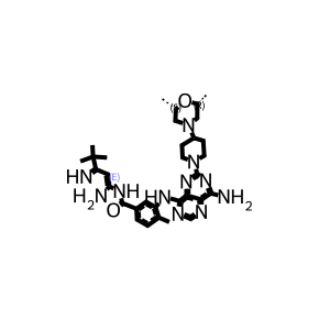 Cc1ccc(C(=O)N/C(N)=C/C(=N)C(C)(C)C)cc1Nc1ncnc2c(N)nc(N3CCC(N4C[C@@H](C)O[C@@H](C)C4)CC3)nc12